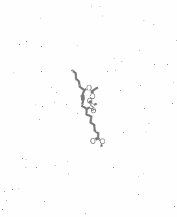 CCCCCC(C#CCC(CCCCCCC(=O)OC)S(C)(=O)=O)OC(C)=O